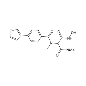 CNC(=O)C(C(=O)NO)N(C)C(=O)c1ccc(-c2ccoc2)cc1